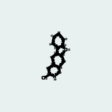 Clc1cc2cc3c(cc2cn1)oc1ccccc13